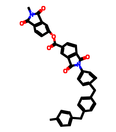 Cc1ccc(Cc2ccc(Cc3ccc(N4C(=O)c5ccc(C(=O)Oc6ccc7c(c6)C(=O)N(C)C7=O)cc5C4=O)cc3)cc2)cc1